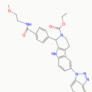 CCOC(=O)N1CCc2c([nH]c3ccc(-n4nnc5ccccc54)cc23)C1c1ccc(C(=O)NCCOC)cc1